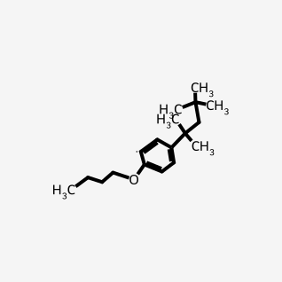 CCCCOc1[c]cc(C(C)(C)CC(C)(C)C)cc1